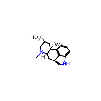 CO[C@]12C[C@@H](C(=O)O)CN(C)[C@@H]1Cc1c[nH]c3cccc2c13